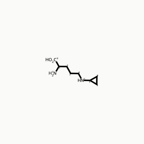 NC(CCCNC1CC1)C(=O)O